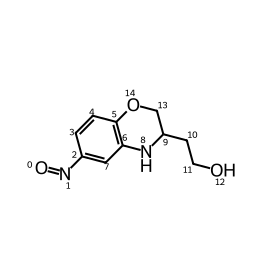 O=Nc1ccc2c(c1)NC(CCO)CO2